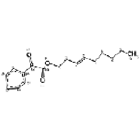 CCCCC/C=C/CCOC(=O)C(=O)c1ccccc1